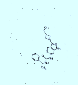 C[C@@H](NC(=O)Nc1cc2[nH]nc(N3CC(CO)C3)c2cn1)c1ccccc1